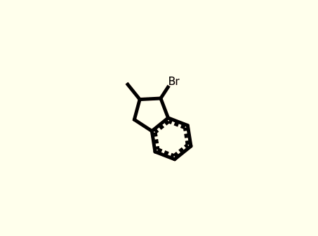 CC1Cc2ccccc2C1Br